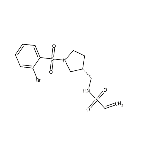 C=CS(=O)(=O)NC[C@H]1CCN(S(=O)(=O)c2ccccc2Br)C1